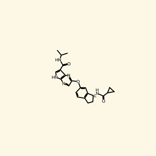 CC(C)NC(=O)c1c[nH]c2ncc(Oc3ccc4c(c3)[C@H](NC(=O)C3CC3)CC4)nc12